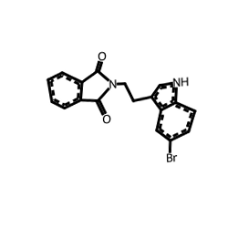 O=C1c2ccccc2C(=O)N1CCc1c[nH]c2ccc(Br)cc12